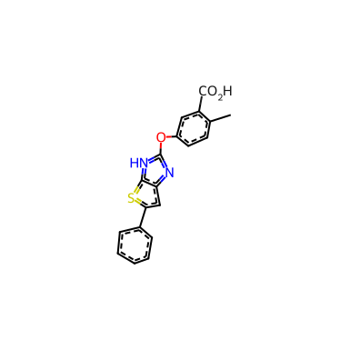 Cc1ccc(Oc2nc3cc(-c4ccccc4)sc3[nH]2)cc1C(=O)O